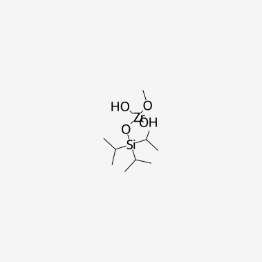 C[O][Zr]([OH])([OH])[O][Si](C(C)C)(C(C)C)C(C)C